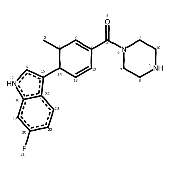 CC1C=C(C(=O)N2CCNCC2)C=CC1c1c[nH]c2cc(F)ccc12